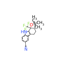 C[Si](C)(C)OC1(C(F)(F)F)CCCc2c1[nH]c1ccc(C#N)cc21